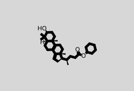 C[C@H](CCC(=O)OC1CCCCC1)[C@H]1CC=C2C3=C(CC[C@@]21C)[C@@]1(C)CC[C@H](O)C(C)(C)[C@@H]1CC3